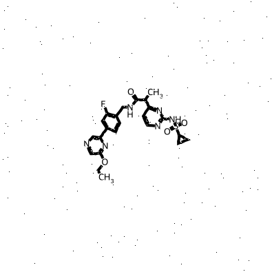 CCOc1cncc(-c2ccc(CNC(=O)C(C)c3ccnc(NS(=O)(=O)C4CC4)n3)c(F)c2)n1